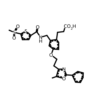 Cc1oc(-c2ccccc2)nc1CCOc1ccc(CCC(=O)O)c(CNC(=O)c2ccc(S(C)(=O)=O)s2)c1